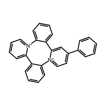 c1ccc(-c2cc[n+]3c(c2)-c2ccccc2-[n+]2ccccc2-c2ccccc2-3)cc1